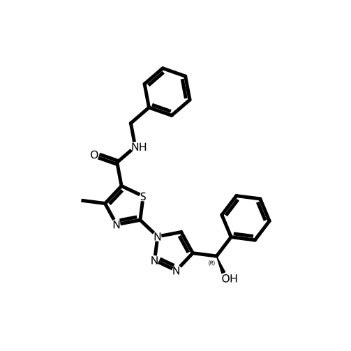 Cc1nc(-n2cc([C@H](O)c3ccccc3)nn2)sc1C(=O)NCc1ccccc1